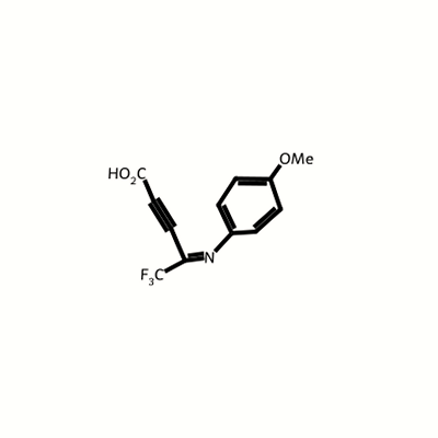 COc1ccc(N=C(C#CC(=O)O)C(F)(F)F)cc1